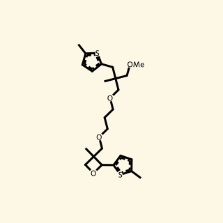 COCC(C)(COCCCOCC1(C)COC1c1ccc(C)s1)Cc1ccc(C)s1